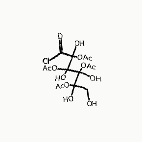 CC(=O)OC(O)(CO)C(O)(OC(C)=O)C(O)(OC(C)=O)C(O)(OC(C)=O)C(=O)Cl